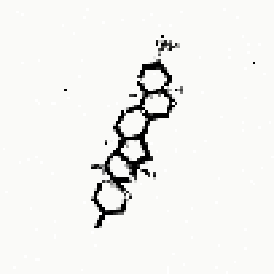 CO[C@H]1CC[C@]2(C)C3CC[C@@]4(C)C(C[C@@H]5O[C@]6(CCC(C)CO6)[C@@H](C)C54)C3CC[C@@H]2C1